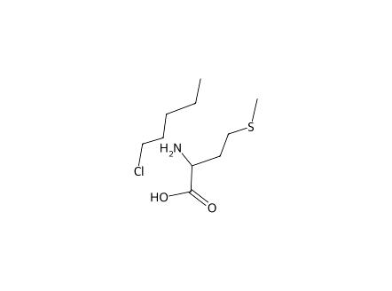 CCCCCCl.CSCCC(N)C(=O)O